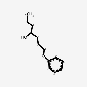 CCCC(O)CCCOc1ccccc1